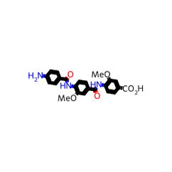 COc1cc(C(=O)O)ccc1NC(=O)c1ccc(NC(=O)c2ccc(N)cc2)c(OC)c1